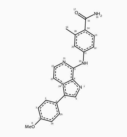 COc1ccc(-c2cnc3c(Nc4ccc(C(N)=O)c(C)c4)nccn23)cc1